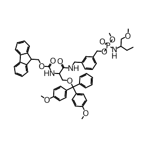 CCC(COC)NP(=O)(OC)OCc1cccc(CNC(=O)C(COC(c2ccccc2)(c2ccc(OC)cc2)c2ccc(OC)cc2)NC(=O)OCC2c3ccccc3-c3ccccc32)c1